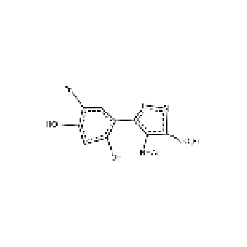 CCOC(=O)c1noc(-c2cc(C(C)C)c(O)cc2O)c1NC(C)=O